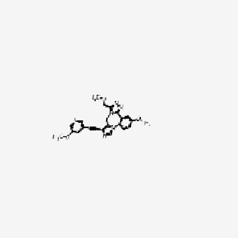 COCc1nnc2n1Cc1c(C#Cc3cncc(OC)c3)ncn1-c1ccc(OC)cc1-2